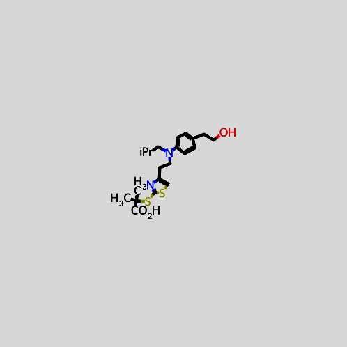 CC(C)CN(CCc1csc(SC(C)(C)C(=O)O)n1)c1ccc(CCO)cc1